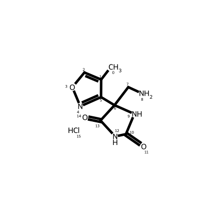 Cc1conc1C1(CN)NC(=O)NC1=O.Cl